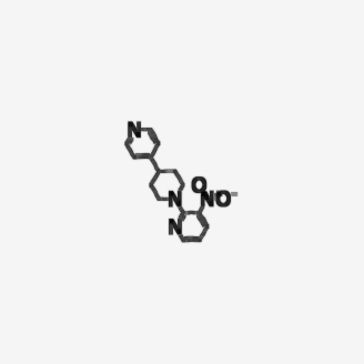 O=[N+]([O-])c1cccnc1N1CCC(c2ccncc2)CC1